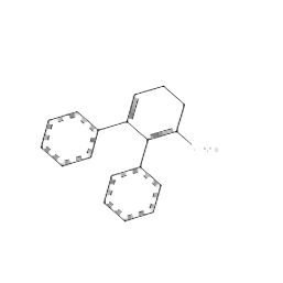 COC1=C(c2ccccc2)C(c2ccccc2)=CC[CH]1